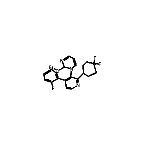 CCOC1N=CC=CN1c1c(-c2ccccc2F)ccnc1C1CCC(F)(F)CC1